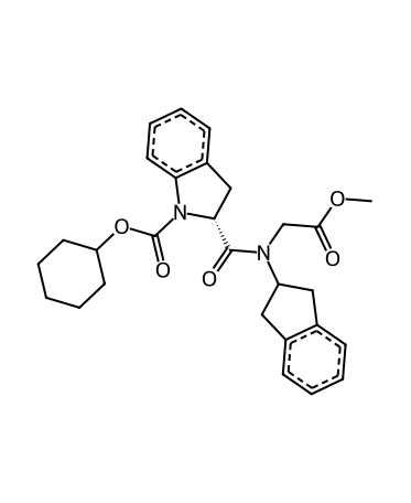 COC(=O)CN(C(=O)[C@H]1Cc2ccccc2N1C(=O)OC1CCCCC1)C1Cc2ccccc2C1